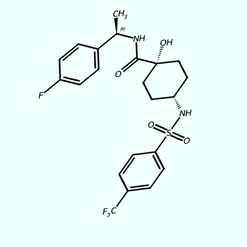 C[C@@H](NC(=O)[C@]1(O)CC[C@@H](NS(=O)(=O)c2ccc(C(F)(F)F)cc2)CC1)c1ccc(F)cc1